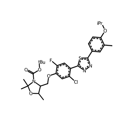 Cc1cc(-c2nnc(-c3cc(F)c(OCC4C(C)OC(C)(C)N4C(=O)OC(C)(C)C)cc3Cl)s2)ccc1OC(C)C